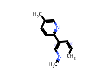 C=N/C=C(\C=C/C)c1ccc(C)cn1